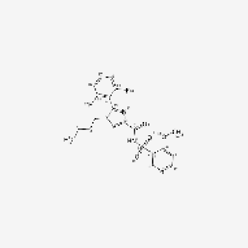 CCCCC1C=C(C(=O)NS(=O)(=O)c2ccccc2OC)N=C1c1c(F)cccc1F